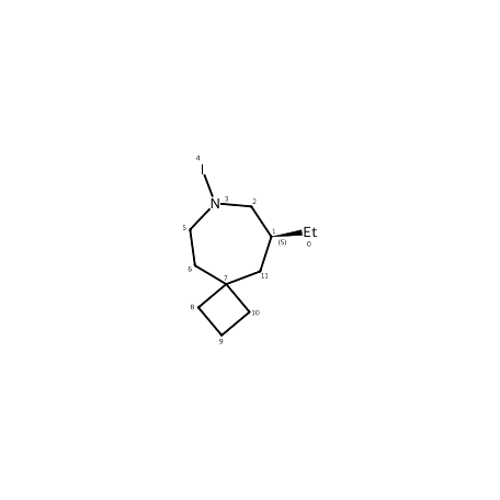 CC[C@@H]1CN(I)CCC2(CCC2)C1